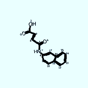 O=C(O)C=CC(=O)Nc1ccc2ccccc2c1